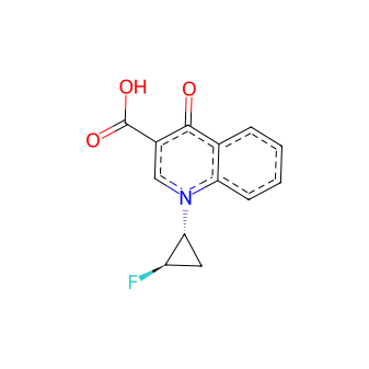 O=C(O)c1cn([C@@H]2C[C@H]2F)c2ccccc2c1=O